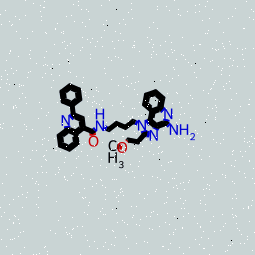 COCCc1nc2c(N)nc3ccccc3c2n1CCCCNC(=O)c1cc(-c2ccccc2)nc2ccccc12